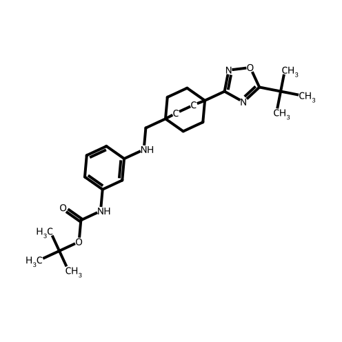 CC(C)(C)OC(=O)Nc1cccc(NCC23CCC(c4noc(C(C)(C)C)n4)(CC2)CC3)c1